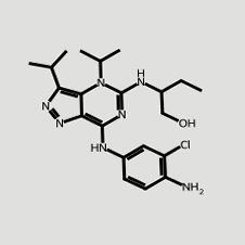 CCC(CO)Nc1nc(Nc2ccc(N)c(Cl)c2)c2nnc(C(C)C)c-2n1C(C)C